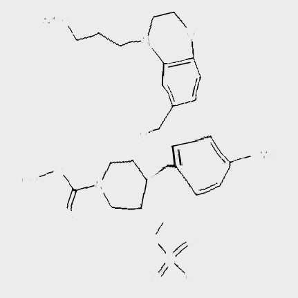 COCCCN1CCOc2ccc(CO[C@H]3CN(C(=O)OC(C)(C)C)C[C@@H](COS(C)(=O)=O)[C@@H]3c3ccc(OC)cc3)cc21